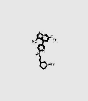 CCOc1cc(-c2ccc(N(C)CCC3CCCN(C(C)C)C3)nc2)c2c(C#N)cnn2c1